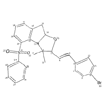 CC1(C)C(C=Cc2ccc(Br)cc2)OC2Cc3cccc(S(=O)(=O)c4ccccc4)c3N21